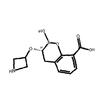 O=C(O)c1cccc2c1OB(O)[C@@H](OC1CNC1)C2